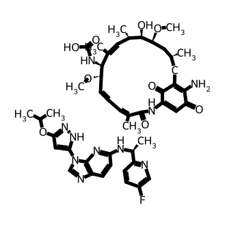 CC(C)Oc1cc(-n2cnc3ccc(N[C@@H](C)c4ccc(F)cn4)nc32)[nH]n1.CO[C@H]1C=CC=C(C)C(=O)NC2=CC(=O)C(N)=C(C[C@@H](C)C[C@H](OC)[C@H](O)[C@@H](C)C=C(C)[C@@H]1NC(=O)O)C2=O